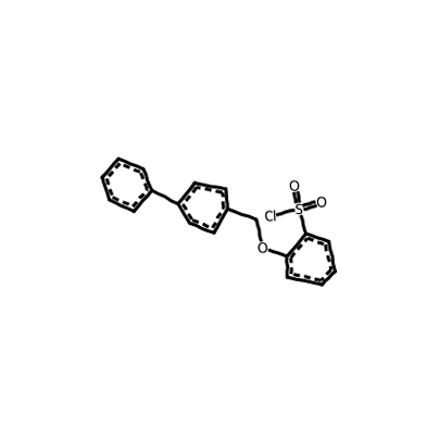 O=S(=O)(Cl)c1ccccc1OCc1ccc(-c2ccccc2)cc1